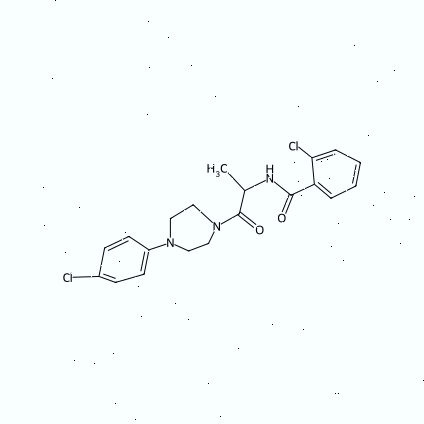 CC(NC(=O)c1ccccc1Cl)C(=O)N1CCN(c2ccc(Cl)cc2)CC1